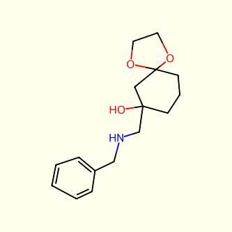 OC1(CNCc2ccccc2)CCCC2(C1)OCCO2